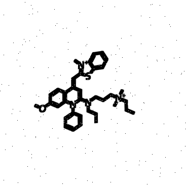 CCCN(CCC[N+](C)(C)CCC)C1=CC(=Cc2sc3ccccc3[n+]2C)c2ccc(OC)cc2N1c1ccccc1